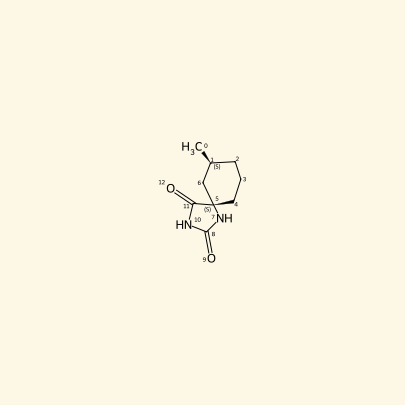 C[C@H]1CCC[C@@]2(C1)NC(=O)NC2=O